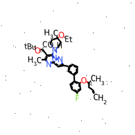 C=CC[C@H](C)Oc1cc(F)ccc1-c1cccc(-c2cc3nc(C)c([C@H](OC(C)(C)C)C(=O)O)c(N4CCC(C)(OCC)CC4)n3n2)c1